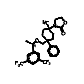 C[C@@H](OC[C@]1(c2ccccc2)CC[C@@](C#N)(N2CCOC2=O)CC1)c1cc(C(F)(F)F)cc(C(F)(F)F)c1